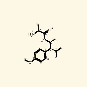 COc1ccc([C@H](C(C)C)[C@H](C)OC(=O)[C@H](C)N)cc1